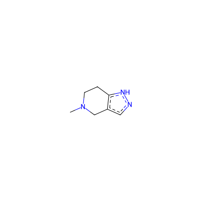 CN1CCc2[nH]ncc2C1